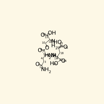 NC(=O)CC[C@H](N)C(=O)OC[C@H](N)C(=O)O.N[C@@H](CCC(=O)O)C(=O)O